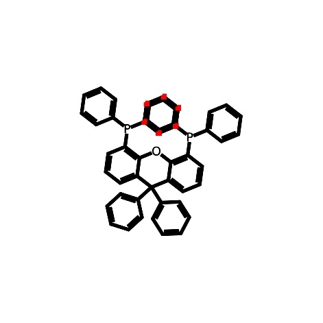 c1ccc(P(c2ccccc2)c2cccc3c2Oc2c(P(c4ccccc4)c4ccccc4)cccc2C3(c2ccccc2)c2ccccc2)cc1